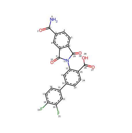 NC(=O)c1ccc2c(c1)C(=O)N(c1cc(-c3ccc(F)c(F)c3)ccc1C(=O)O)C2=O